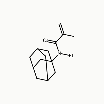 C=C(C)C(=O)N(CC)C12CC3CC(CC(C3)C1)C2